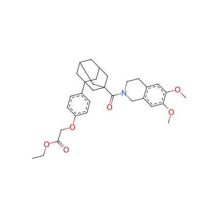 CCOC(=O)COc1ccc(C23CC4CC(CC(C(=O)N5CCc6cc(OC)c(OC)cc6C5)(C4)C2)C3)cc1